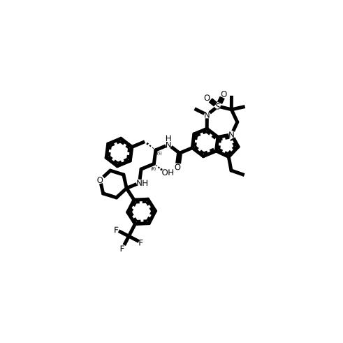 CCc1cn2c3c(cc(C(=O)N[C@@H](Cc4ccccc4)[C@H](O)CNC4(c5cccc(C(F)(F)F)c5)CCOCC4)cc13)N(C)S(=O)(=O)C(C)(C)C2